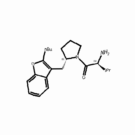 CCCCc1oc2ccccc2c1C[C@@H]1CCCN1C(=O)[C@@H](N)C(C)C